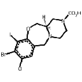 O=C(O)N1CCN2Cc3cc(Cl)c(Br)c(I)c3OC[C@H]2C1